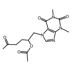 CC(=O)CCC(Cn1cnc2c1c(=O)n(C)c(=O)n2C)OC(C)=O